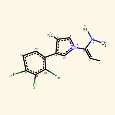 CC=C(N(CC)CC)n1cc(C#N)c(-c2ccc(F)c(Cl)c2F)c1